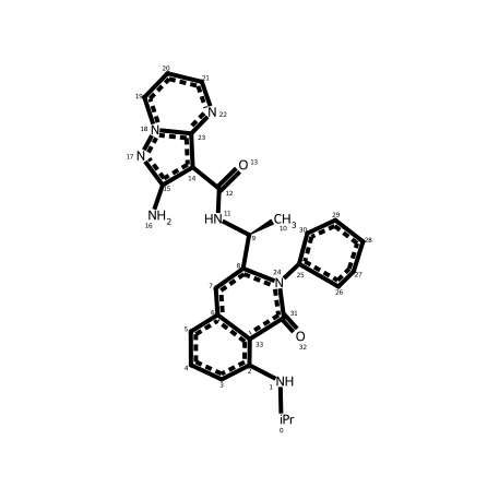 CC(C)Nc1cccc2cc([C@H](C)NC(=O)c3c(N)nn4cccnc34)n(-c3ccccc3)c(=O)c12